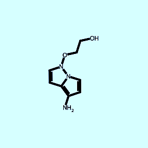 Nc1ccn2c1ccn2OCCO